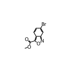 COC(=O)c1onc2cc(Br)ccc12